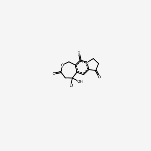 CCC1(O)CC(=O)OCc2c1cc1n(c2=O)CCC1=O